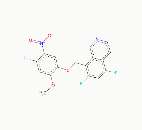 COc1cc(F)c([N+](=O)[O-])cc1OCc1c(F)cc(F)c2ccncc12